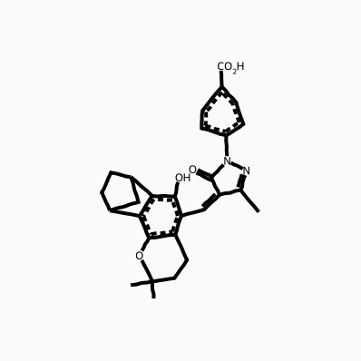 CC1=NN(c2ccc(C(=O)O)cc2)C(=O)/C1=C\c1c(O)c2c(c3c1CCC(C)(C)O3)C1CCC2C1